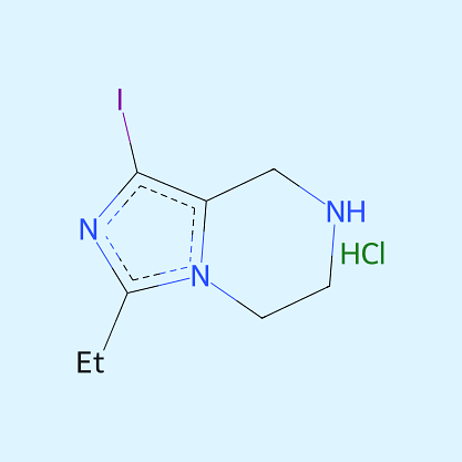 CCc1nc(I)c2n1CCNC2.Cl